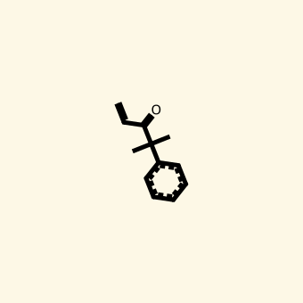 C=CC(=O)C(C)(C)c1ccccc1